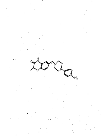 CC1Oc2ccc(CN3CCN(c4ccc(N)cc4)CC3)cc2NC1=O